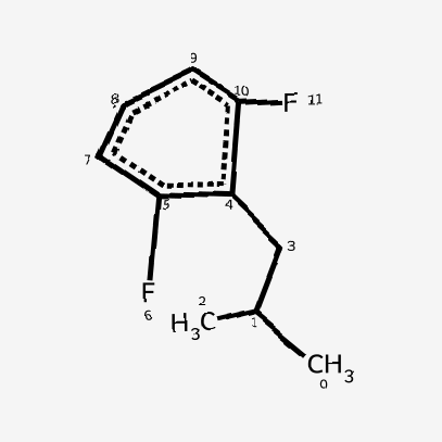 CC(C)Cc1c(F)c[c]cc1F